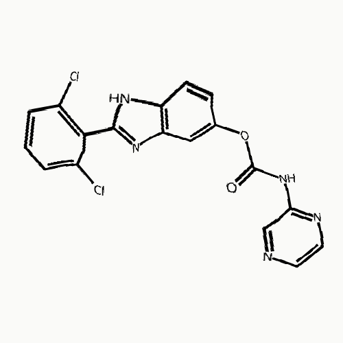 O=C(Nc1cnccn1)Oc1ccc2[nH]c(-c3c(Cl)cccc3Cl)nc2c1